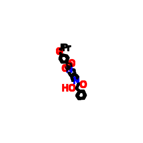 CC(C)Oc1ccc(S(=O)(=O)N2CC3=C(CN(C(=O)[C@H](O)c4ccccc4)C3)C2)cc1